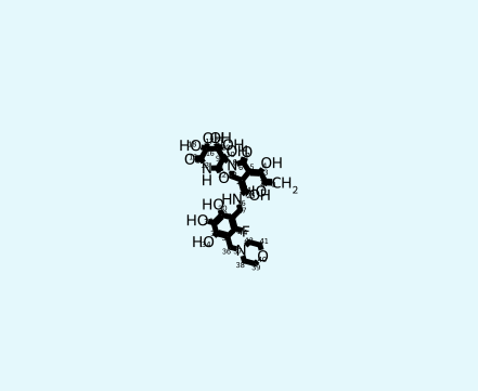 C=C(O)/C(O)=C1/C(=O)N(C2(O)C(=O)NC(=O)C(O)(O)C2(O)O)C/C1=C(/O)NCc1c(O)c(O)c(O)c(CN2CCOCC2)c1F